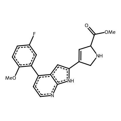 COC(=O)C1C=C(c2cc3c(-c4cc(F)ccc4OC)ccnc3[nH]2)CN1